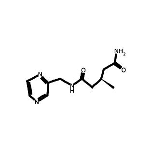 C[C@@H]([CH]C(=O)NCc1cnccn1)CC(N)=O